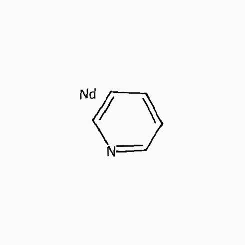 [Nd].c1ccncc1